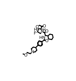 COCCN1CCC(c2ccc(C(=O)N[C@H](C(=O)N3C[C@H](F)[C@H]4OCC(=O)[C@H]43)C3CCCCC3)cc2)CC1